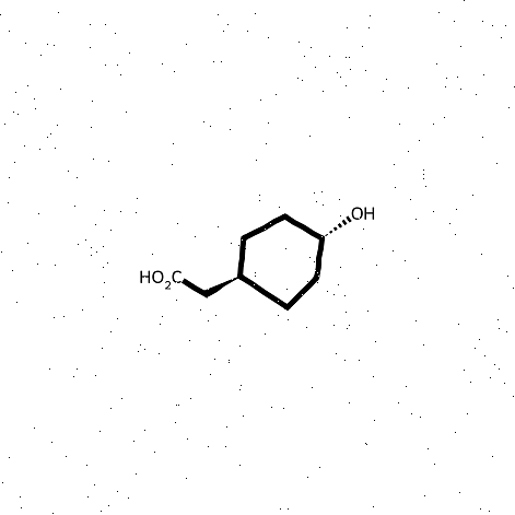 O=C(O)C[C@H]1CC[C@H](O)CC1